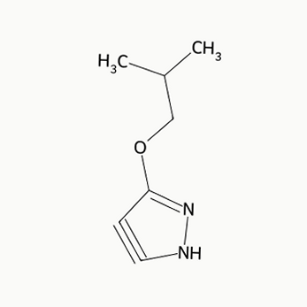 CC(C)COc1c#c[nH]n1